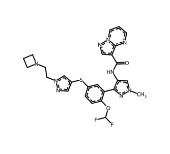 Cn1cc(NC(=O)c2cnn3cccnc23)c(-c2cc(Sc3cnn(CCN4CCC4)c3)ccc2OC(F)F)n1